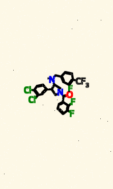 CN(Cc1ccc(C(F)(F)F)c(F)c1)C1CN(C(=O)c2cccc(F)c2F)CC1c1ccc(Cl)c(Cl)c1